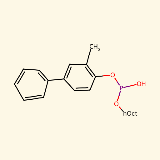 CCCCCCCCOP(O)Oc1ccc(-c2ccccc2)cc1C